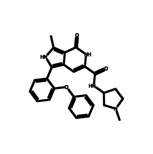 Cc1[nH]c(-c2ccccc2Oc2ccccc2)c2cc(C(=O)NC3CCN(C)C3)[nH]c(=O)c12